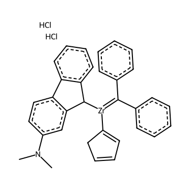 CN(C)c1ccc2c(c1)[CH]([Zr]([C]1=CC=CC1)=[C](c1ccccc1)c1ccccc1)c1ccccc1-2.Cl.Cl